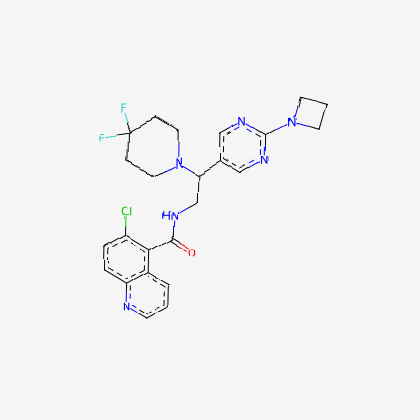 O=C(NCC(c1cnc(N2CCC2)nc1)N1CCC(F)(F)CC1)c1c(Cl)ccc2ncccc12